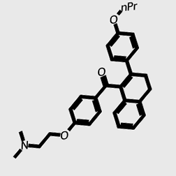 CCCOc1ccc(C2=C(C(=O)c3ccc(OCCN(C)C)cc3)c3ccccc3CC2)cc1